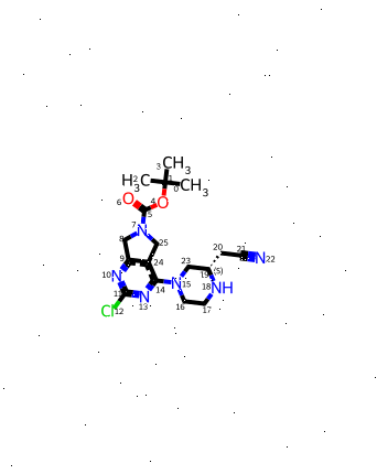 CC(C)(C)OC(=O)N1Cc2nc(Cl)nc(N3CCN[C@@H](CC#N)C3)c2C1